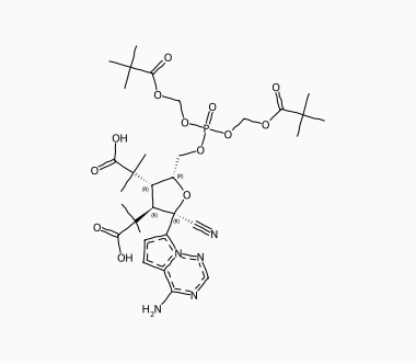 CC(C)(C)C(=O)OCOP(=O)(OCOC(=O)C(C)(C)C)OC[C@@H]1O[C@@](C#N)(c2ccc3c(N)ncnn23)[C@@H](C(C)(C)C(=O)O)[C@@H]1C(C)(C)C(=O)O